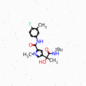 Cc1cc(NC(=O)c2cc(C(C)(O)C(=O)NC(C)(C)C)cn2C)ccc1F